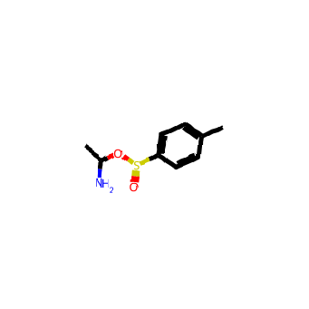 Cc1ccc(S(=O)OC(C)N)cc1